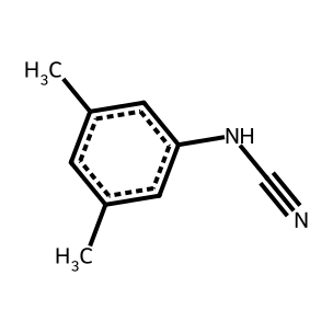 Cc1cc(C)cc(NC#N)c1